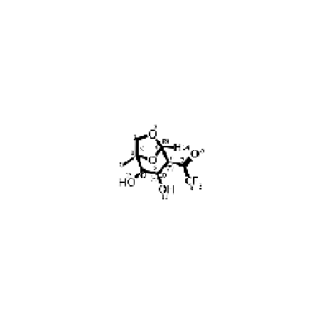 C[C@@]12CO[C@@H](O1)[C@@H](C(=O)C(F)(F)F)[C@@H](O)[C@H]2O